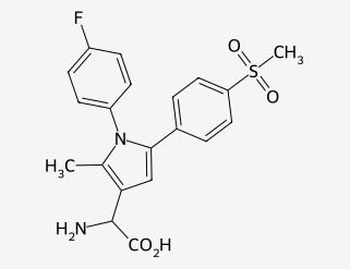 Cc1c(C(N)C(=O)O)cc(-c2ccc(S(C)(=O)=O)cc2)n1-c1ccc(F)cc1